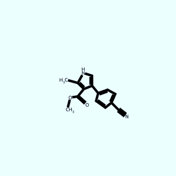 COC(=O)c1c(-c2ccc(C#N)cc2)c[nH]c1C